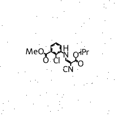 COC(=O)c1cccc(NC=C(C#N)C(=O)OC(C)C)c1Cl